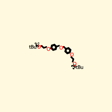 CC(C)(C)[Si](C)(C)OCCCOc1ccc(COCc2ccc(OCCCO[Si](C)(C)C(C)(C)C)cc2)cc1